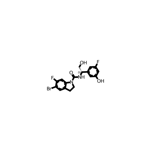 O=C(N[C@H](CO)c1cc(O)cc(F)c1)N1CCc2cc(Br)c(F)cc21